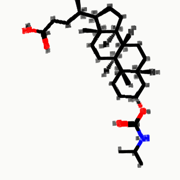 CC(C)NC(=O)O[C@@H]1CC[C@@]2(C)[C@H](CC[C@@H]3[C@@H]2CC[C@]2(C)[C@@H]([C@H](C)CCC(=O)O)CC[C@@H]32)C1